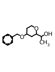 CC(O)C1CC(OCc2ccccc2)CCO1